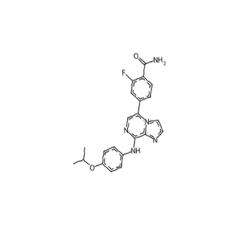 CC(C)Oc1ccc(Nc2ncc(-c3ccc(C(N)=O)c(F)c3)n3ccnc23)cc1